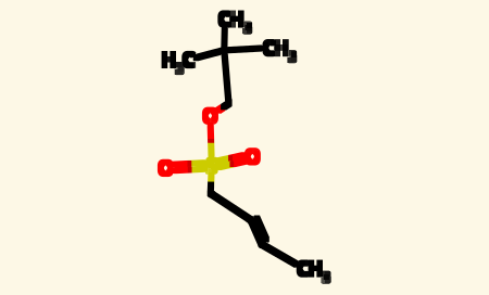 CC=CCS(=O)(=O)OCC(C)(C)C